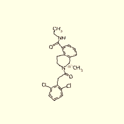 CCNC(=O)c1cccc2c1CCN(C(=O)Cc1c(Cl)cccc1Cl)[C@H]2C